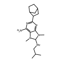 CC(C)CNC1N(C)c2nc(C3CC4CCC3C4)nc(N)c2N1C